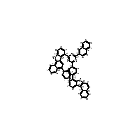 Fc1ccc(-c2cc3c(oc4cccc(-c5nc(-c6ccc(-c7cccc8c7sc7ccc9ccccc9c78)cc6)nc(-c6ccc7ccccc7c6)n5)c43)c3ccccc23)cc1